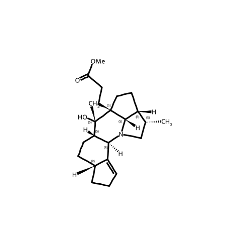 COC(=O)CC[C@@]12CC[C@@H]3[C@H](C)CN([C@@H]31)[C@H]1C3=CCC[C@@H]3CC[C@@H]1[C@]2(C)O